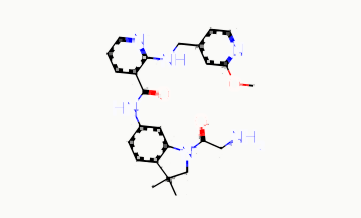 COc1cc(CNc2ncccc2C(=O)Nc2ccc3c(c2)N(C(=O)CN)CC3(C)C)ccn1